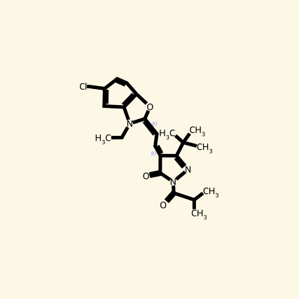 CCN1/C(=C\C=C2\C(=O)N(C(=O)C(C)C)N=C2C(C)(C)C)Oc2ccc(Cl)cc21